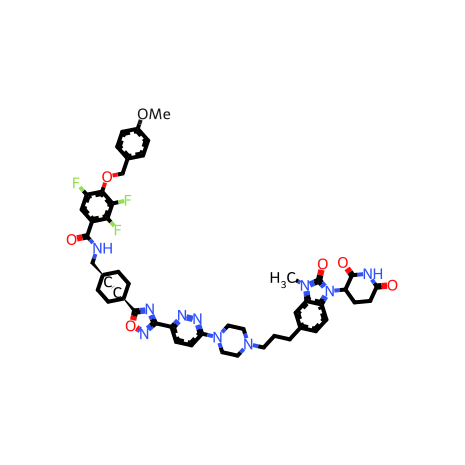 COc1ccc(COc2c(F)cc(C(=O)NC[C@]34CC[C@](c5nc(-c6ccc(N7CCN(CCCc8ccc9c(c8)n(C)c(=O)n9C8CCC(=O)NC8=O)CC7)nn6)no5)(CC3)CC4)c(F)c2F)cc1